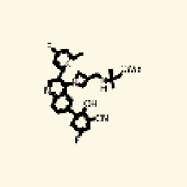 COCC(C)(C)NCC1CN(c2c(-c3cc(C)cc(F)c3)cnc3ccc(-c4cc(F)cc(C#N)c4O)cc23)C1